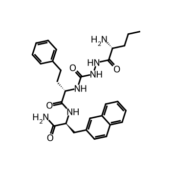 CCC[C@@H](N)C(=O)NNC(=O)N[C@@H](CCc1ccccc1)C(=O)N[C@@H](Cc1ccc2ccccc2c1)C(N)=O